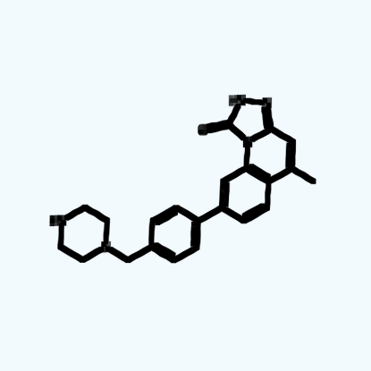 Cc1cc2n[nH]c(=O)n2c2cc(-c3ccc(CN4CCNCC4)cc3)ccc12